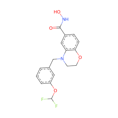 O=C(NO)c1ccc2c(c1)N(Cc1cccc(OC(F)F)c1)CCO2